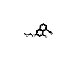 COCOc1cc(Br)c2c(C#N)cccc2c1